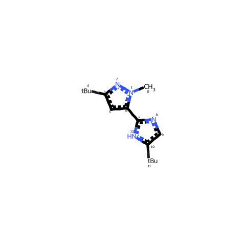 Cn1nc(C(C)(C)C)cc1-c1ncc(C(C)(C)C)[nH]1